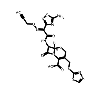 C#CCON=C(C(=O)NC1C(=O)N2C(C(=O)O)=C(CSc3nncs3)CS[C@@H]12)c1nsc(N)n1